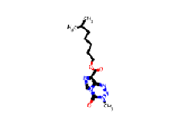 CC(C)CCCCCOC(=O)c1ncn2c(=O)n(C)nnc12